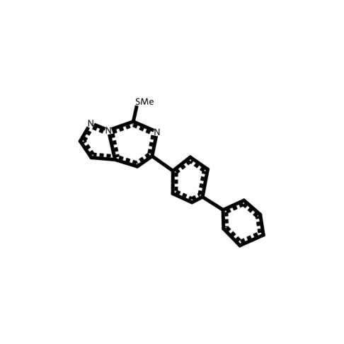 CSc1nc(-c2ccc(-c3ccccc3)cc2)cc2ccnn12